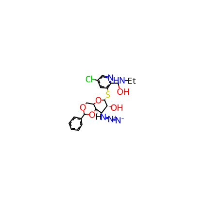 CCNC(O)c1ncc(Cl)cc1S[C@H]1OC2COC(c3ccccc3)O[C@@H]2C(N=[N+]=[N-])[C@H]1O